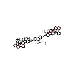 CC1(C)c2cc(/C=C/c3ccc4c(c3)C(C)(C)c3cc(N(c5ccccc5-c5ccccc5)c5ccccc5-c5ccccc5)ccc3-4)ccc2-c2ccc(/C=C/c3ccc4c(c3)C(C)(C)c3cc(N(c5ccccc5-c5ccccc5)c5ccccc5-c5ccccc5)ccc3-4)cc21